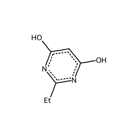 CCc1nc(O)cc(O)n1